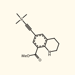 COC(=O)c1cc(C#C[Si](C)(C)C)cc2c1NCCC2